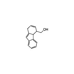 OCC1C=CCC2=Cc3ccccc3C21